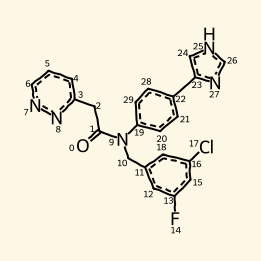 O=C(Cc1cccnn1)N(Cc1cc(F)cc(Cl)c1)c1ccc(-c2c[nH]cn2)cc1